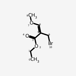 CCOC(=O)/C(=C\OC)CBr